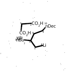 O=C(O)CC(=O)O.[KH].[Li][CH2]C(CCCC)CCCCCCCCCCCC